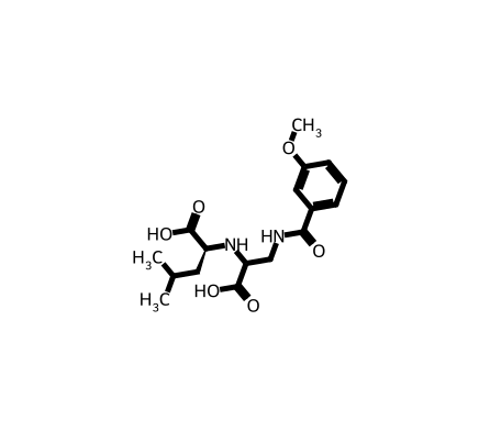 COc1cccc(C(=O)NCC(N[C@@H](CC(C)C)C(=O)O)C(=O)O)c1